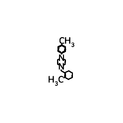 CC1=C(CN2CCN(c3ccc(C)cc3)CC2)CCCC1